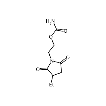 CCC1CC(=O)N(CCOC(N)=O)C1=O